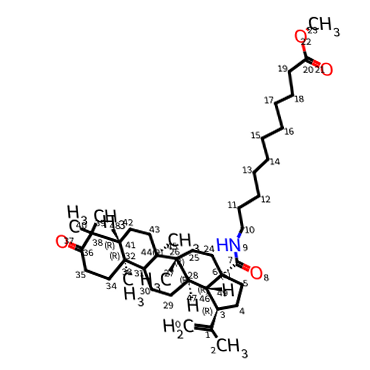 C=C(C)[C@@H]1CC[C@]2(C(=O)NCCCCCCCCCCC(=O)OC)CC[C@]3(C)[C@H](CCC4[C@@]5(C)CCC(=O)C(C)(C)[C@@H]5CC[C@]43C)[C@@H]12